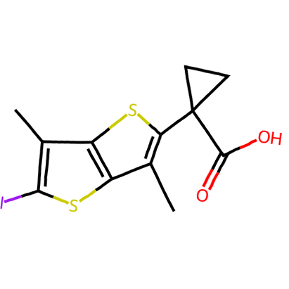 Cc1c(I)sc2c(C)c(C3(C(=O)O)CC3)sc12